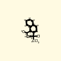 CC([O])c1c(C(Cl)(Cl)C(Cl)(Cl)Cl)ccc2ccccc12